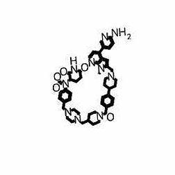 Cn1c(CN2CCC(c3ccc(C(=O)N4CCC(CN5CCN(Cc6ccc7c(c6)oc(=O)n7C6CCC(=O)NC6=O)CC5)CC4)cc3)CC2)cc2c(-c3ccc(N)nc3)ccnc21